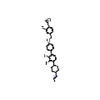 C/C=C/C1CCC(c2ccc(-c3ccc(OCc4ccc(C5CO5)c(F)c4)cc3)c(F)c2F)CC1